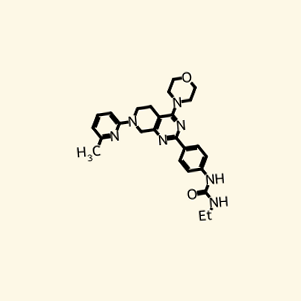 CCNC(=O)Nc1ccc(-c2nc3c(c(N4CCOCC4)n2)CCN(c2cccc(C)n2)C3)cc1